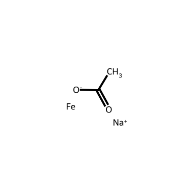 CC(=O)[O-].[Fe].[Na+]